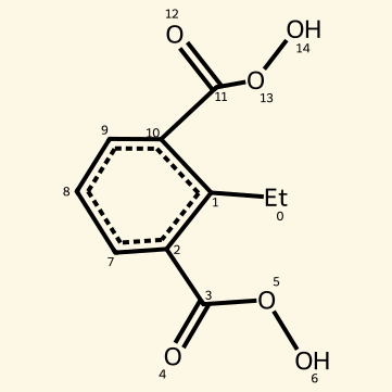 CCc1c(C(=O)OO)cccc1C(=O)OO